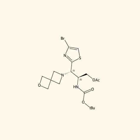 CC(=O)OC[C@@H](NC(=O)OC(C)(C)C)[C@@H](c1nc(Br)cs1)N1CC2(COC2)C1